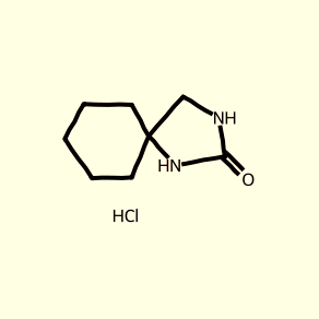 Cl.O=C1NCC2(CCCCC2)N1